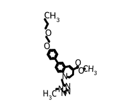 CCCCOCCOc1ccc(-c2ccc3c(c2)C=C(C(=O)OC)CCN3Cc2nnnn2CC)cc1